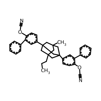 CCCC12CC3(C)CC(c4ccc(OC#N)c(-c5ccccc5)c4)(C1)CC(c1ccc(OC#N)c(-c4ccccc4)c1)(C3)C2